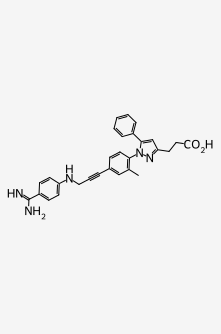 Cc1cc(C#CCNc2ccc(C(=N)N)cc2)ccc1-n1nc(CCC(=O)O)cc1-c1ccccc1